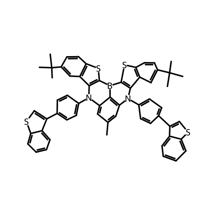 Cc1cc2c3c(c1)N(c1ccc(-c4csc5ccccc45)cc1)c1c(sc4ccc(C(C)(C)C)cc14)B3c1sc3ccc(C(C)(C)C)cc3c1N2c1ccc(-c2csc3ccccc23)cc1